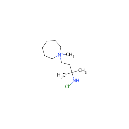 CC(C)(CC[N+]1(C)CCCCCC1)NCl